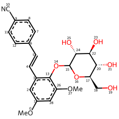 COc1cc(/C=C/c2ccc(C#N)cc2)c(OC2O[C@H](CO)[C@@H](O)[C@H](O)[C@H]2O)c(OC)c1